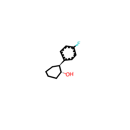 O[C@@H]1CCCC[C@H]1c1ccc(F)cc1